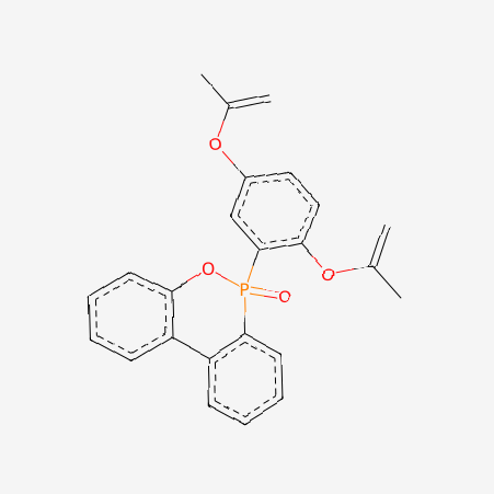 C=C(C)Oc1ccc(OC(=C)C)c(P2(=O)Oc3ccccc3-c3ccccc32)c1